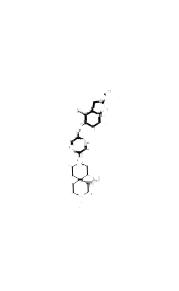 CC(=O)N1CCC2(CCN(c3cnc(Sc4ccc5nn(C)cc5c4Cl)cn3)CC2)[C@@H](N)C1